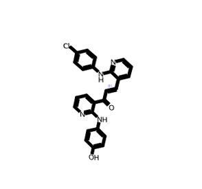 O=C(/C=C/c1cccnc1Nc1ccc(Cl)cc1)c1cccnc1Nc1ccc(O)cc1